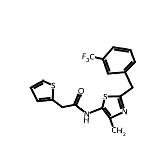 Cc1nc(Cc2cccc(C(F)(F)F)c2)sc1NC(=O)Cc1cccs1